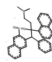 COc1cc2ccccc2cc1C(c1ccccc1)C(O)(CCN(C)C)c1cccc2ccccc12